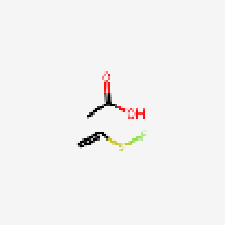 C=CSF.CC(=O)O